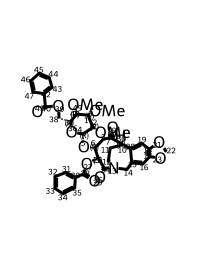 CO[C@@H]1[C@@H](OC)[C@H](O[C@@H]2CC(=O)[C@@H]3CCN(Cc4cc5c(cc43)OCO5)C(=O)[C@H]2OC(=O)c2ccccc2)O[C@H](COC(=O)c2ccccc2)[C@H]1OC